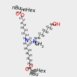 CCCCCCC(CCCC)C(=O)OCCCCCCCCCN(CCCCCCCCCOC(=O)C(CCCC)CCCCCC)CCN(C)CCCCCCCCCO